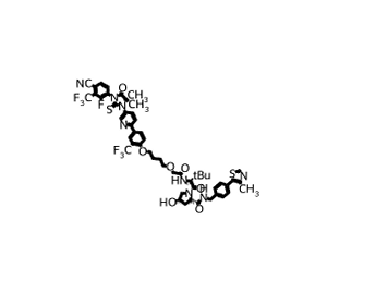 Cc1ncsc1-c1ccc(CNC(=O)[C@@H]2C[C@@H](O)CN2C(=O)[C@@H](NC(=O)COCCCCOc2ccc(-c3ccc(N4C(=S)N(c5ccc(C#N)c(C(F)(F)F)c5F)C(=O)C4(C)C)cn3)cc2C(F)(F)F)C(C)(C)C)cc1